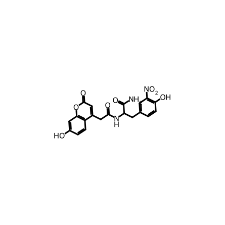 NC(=O)C(Cc1ccc(O)c([N+](=O)[O-])c1)NC(=O)Cc1cc(=O)oc2cc(O)ccc12